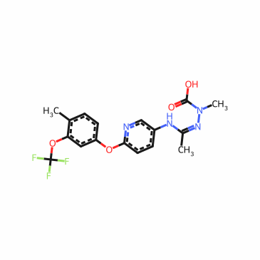 C/C(=N/N(C)C(=O)O)Nc1ccc(Oc2ccc(C)c(OC(F)(F)F)c2)nc1